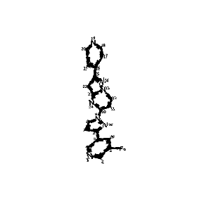 Fc1cncc(-c2ccn(-c3ccn4nc(-c5ccncc5)cc4n3)n2)c1